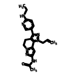 C=CCn1nc(-c2ccc(NCC)nc2)c2c1-c1cc(NC(C)=O)nn1CC2